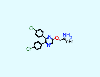 CCC[C@H](N)COc1cnc(-c2ccc(Cl)cc2)c(-c2ccc(Cl)cc2)n1